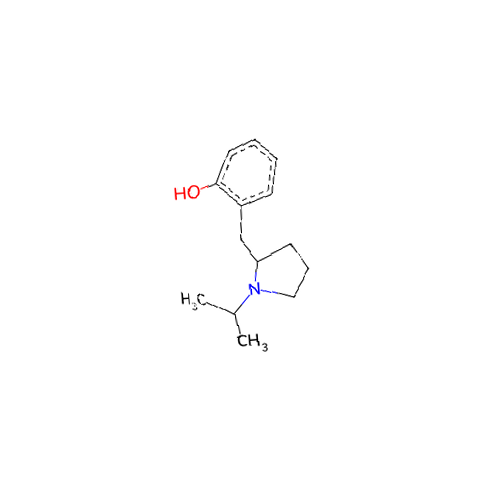 CC(C)N1CCCC1Cc1ccccc1O